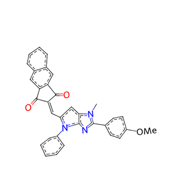 COc1ccc(-c2nc3c(cc(C=C4C(=O)c5cc6ccccc6cc5C4=O)n3-c3ccccc3)n2C)cc1